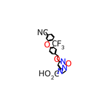 N#Cc1cccc(Oc2ccc(COc3cc4n(c(=O)n3)CCN4C(=O)O)cc2C(F)(F)F)c1